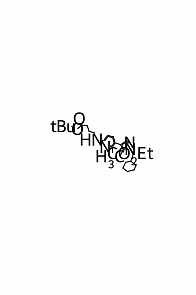 CCOC(=O)c1nc(NCCCC(=O)OC(C)(C)C)ccc1-c1cnn(CC2CCCCC2)c1C